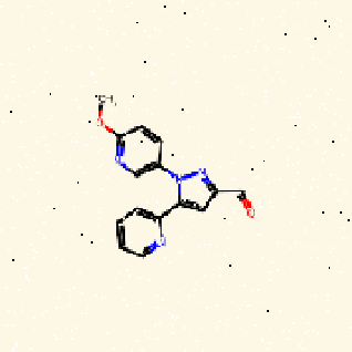 COc1ccc(-n2nc([C]=O)cc2-c2ccccn2)cn1